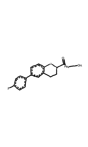 O=C(NO)C1CCc2cc(-c3ccc(F)cc3)ccc2O1